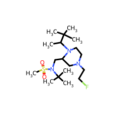 CC(N1CCN(CCF)CC1CN(C(C)(C)C)S(C)(=O)=O)C(C)(C)C